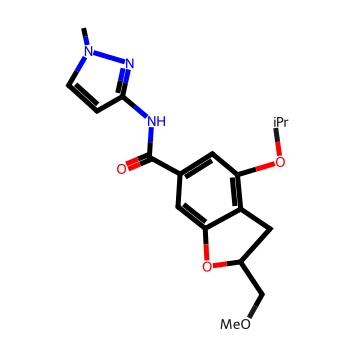 COCC1Cc2c(OC(C)C)cc(C(=O)Nc3ccn(C)n3)cc2O1